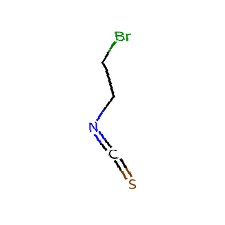 S=C=NCCBr